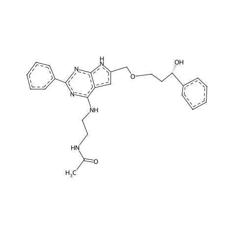 CC(=O)NCCNc1nc(-c2ccccc2)nc2[nH]c(COCC[C@H](O)c3ccccc3)cc12